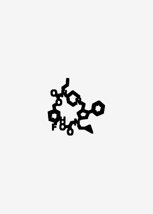 CCCN(C(=O)OCc1ccc(F)cc1)C1CCN(CC2CC(N(CC(=O)O)CC3CC3)CC2c2ccccc2)CC1